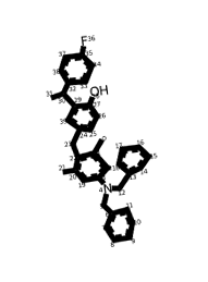 Cc1cc(N(Cc2ccccc2)Cc2ccccc2)cc(C)c1Cc1ccc(O)c(C(C)c2ccc(F)cc2)c1